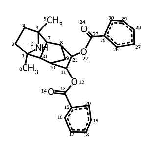 CC12CCC(C)(N1)C1C3CC(C(OC(=O)c4ccccc4)C3OC(=O)c3ccccc3)C12